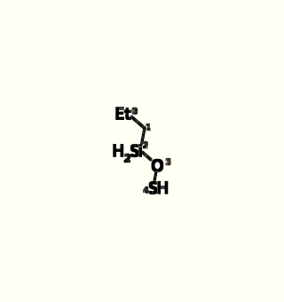 CCC[SiH2]OS